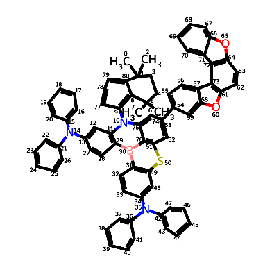 CC1(C)CCC(C)(C)c2c(N3c4cc(N(c5ccccc5)c5ccccc5)ccc4B4c5ccc(N(c6ccccc6)c6ccccc6)cc5Sc5cc(-c6ccc7c(c6)oc6ccc8oc9ccccc9c8c67)cc3c54)cccc21